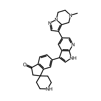 CN1CCn2ncc(-c3cnc4[nH]cc(-c5ccc6c(c5)C5(CCNCC5)CC6=O)c4c3)c2C1